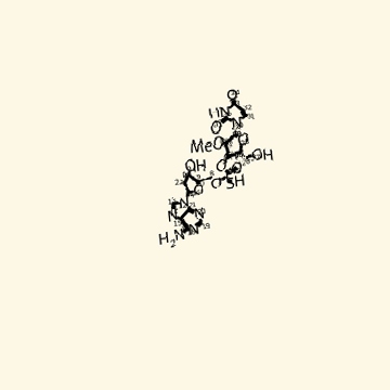 CO[C@H]1[C@@H](OP(=O)(S)OC[C@H]2O[C@@H](n3cnc4c(N)ncnc43)C[C@H]2O)[C@@H](CO)O[C@H]1n1ccc(=O)[nH]c1=O